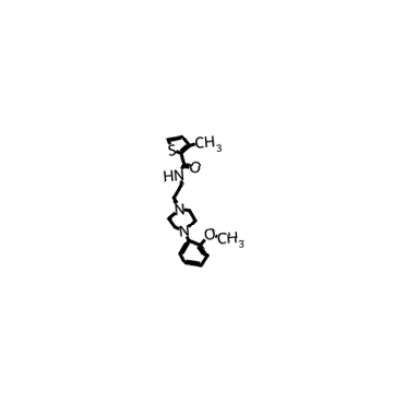 COc1ccccc1N1CCN(CCNC(=O)c2sccc2C)CC1